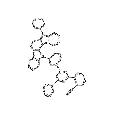 N#Cc1ccccc1-c1nc(-c2ccccc2)cc(-c2cccc(-n3c4ccccc4c4ccc5c(c6ccccc6n5-c5ccccc5)c43)c2)n1